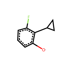 [O]c1cccc(F)c1C1CC1